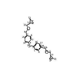 c1cc(Sc2ccc(COCC3CS3)cc2)ccc1COCC1CS1